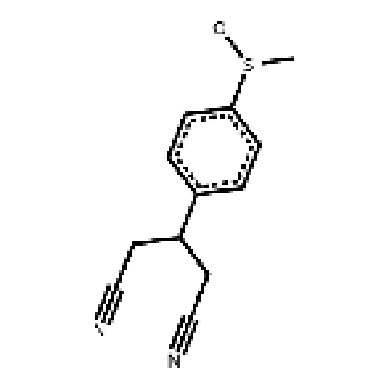 C[S+]([O-])c1ccc(C(CC#N)CC#N)cc1